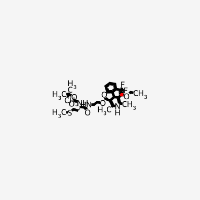 CCOC(=O)C1=C(C)NC(C)=C(C(=O)OCCNC(=O)[C@H](CCSC)NC(=O)OC(C)(C)C)C1c1ccccc1C(F)(F)F